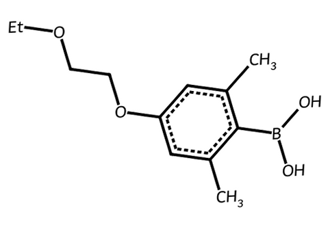 CCOCCOc1cc(C)c(B(O)O)c(C)c1